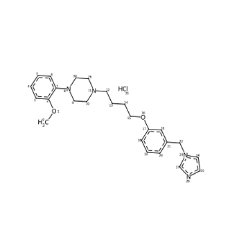 COc1ccccc1N1CCN(CCCCOc2cccc(Cn3ccnc3)c2)CC1.Cl